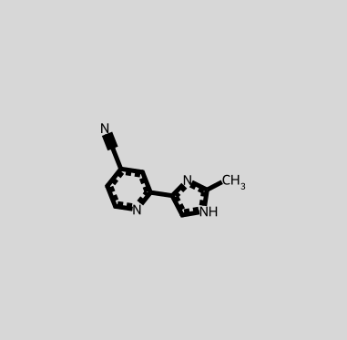 Cc1nc(-c2cc(C#N)ccn2)c[nH]1